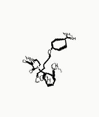 Cc1ccccc1C(CCCOc1ccc(C(=N)N)cc1)(CC(=O)O)N1CCNC(=O)C1=O